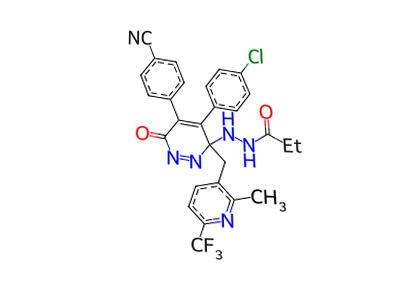 CCC(=O)NNC1(Cc2ccc(C(F)(F)F)nc2C)N=NC(=O)C(c2ccc(C#N)cc2)=C1c1ccc(Cl)cc1